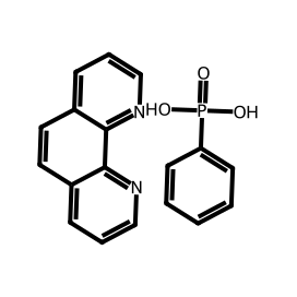 O=P(O)(O)c1ccccc1.c1cnc2c(c1)ccc1cccnc12